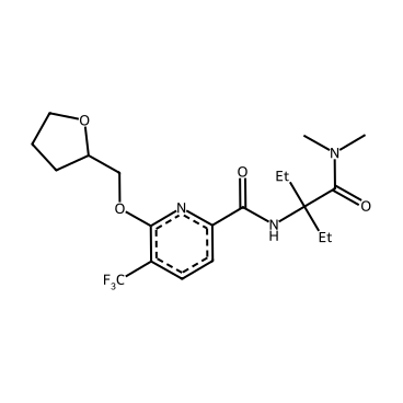 CCC(CC)(NC(=O)c1ccc(C(F)(F)F)c(OCC2CCCO2)n1)C(=O)N(C)C